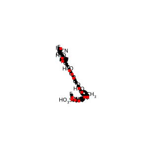 Cc1nnc(-c2ccc(Cn3cc(CC(CCCF)S(=O)(=O)O)nn3)cc2)c2c1CCCC(OC(=O)NCCOCCOCCOCCOCCC(=O)NCCCOc1cccc3c(C(=O)NCC(=O)N4CC(F)(F)C[C@H]4C#N)ccnc13)CC2